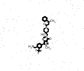 C[C@H](CC(=O)N1CCC(O)(Cn2cnc3c(-c4ccc(CN)c(C(F)(F)F)c4)n(C)nc3c2=O)CC1)c1ccccc1